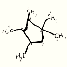 [CH2]C1CC(C)(C)C(C)C1C